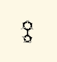 c1ncnc(-c2conn2)n1